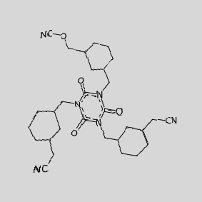 N#CCC1CCCC(Cn2c(=O)n(CC3CCCC(CC#N)C3)c(=O)n(CC3CCCC(COC#N)C3)c2=O)C1